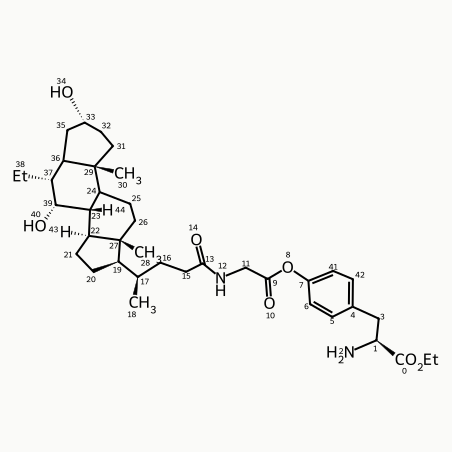 CCOC(=O)[C@@H](N)Cc1ccc(OC(=O)CNC(=O)CC[C@@H](C)[C@H]2CC[C@H]3[C@H]4C(CC[C@]23C)[C@@]2(C)CC[C@@H](O)CC2[C@@H](CC)[C@H]4O)cc1